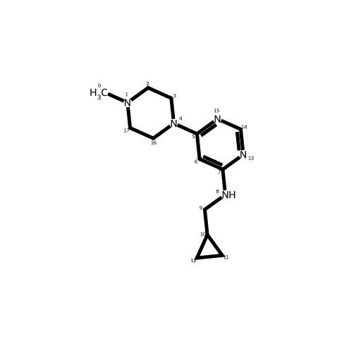 CN1CCN(c2cc(NCC3CC3)ncn2)CC1